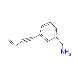 C=CC#Cc1cccc(CN)c1